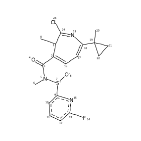 CC1C(C(=O)N(C)[S+]([O-])c2cccc(F)n2)=CC=C(C2(C)CC2)N=C1Cl